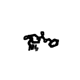 NCCC12CN(C(=O)OCc3ccccc3)CCC1O2